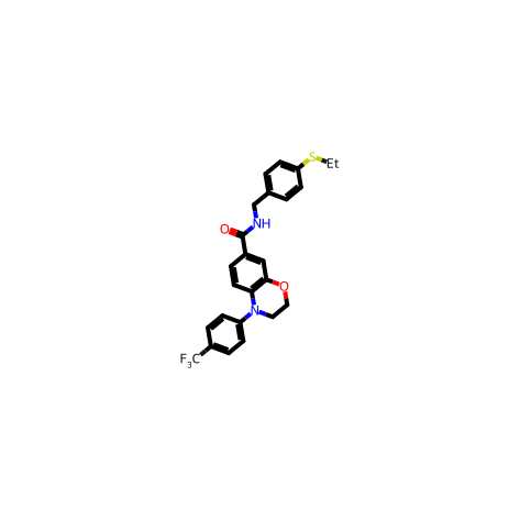 CCSc1ccc(CNC(=O)c2ccc3c(c2)OCCN3c2ccc(C(F)(F)F)cc2)cc1